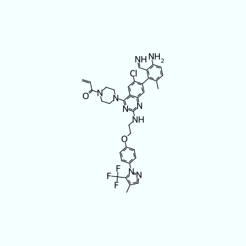 C=CC(=O)N1CCN(c2nc(NCCOc3ccc(-n4ncc(C)c4C(F)(F)F)cc3)nc3cc(-c4c(C)ccc(N)c4C=N)c(Cl)cc23)CC1